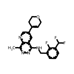 Cc1nnc(NCc2cccc(C(F)F)c2F)c2cc(C3=CCOCC3)cnc12